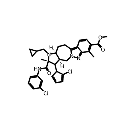 COC(=O)c1ccc2c3n(nc2c1C)C[C@H]1C(C2C=CC=C2Cl)[C@](C)(C(=O)Nc2cccc(Cl)c2)N(CC2CC2)[C@H]1CC3